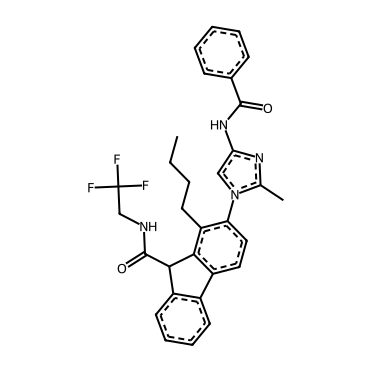 CCCCc1c(-n2cc(NC(=O)c3ccccc3)nc2C)ccc2c1C(C(=O)NCC(F)(F)F)c1ccccc1-2